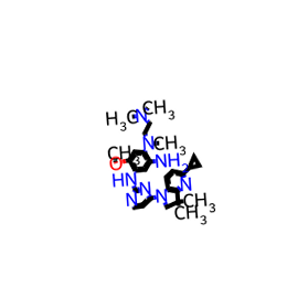 COc1cc(N(C)CCN(C)C)c(N)cc1Nc1nccc(N2CC(C)(C)c3nc(C4CC4)ccc32)n1